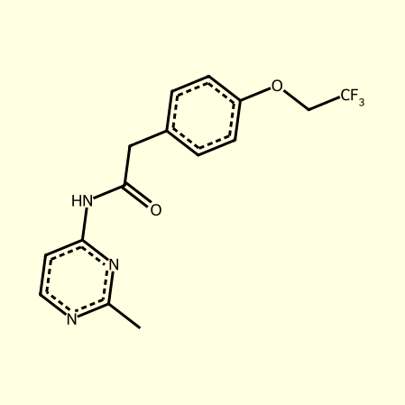 Cc1nccc(NC(=O)Cc2ccc(OCC(F)(F)F)cc2)n1